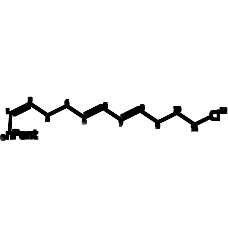 CCCCC/C=C\CC/C=C/C=C/CCCCl